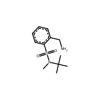 CN(C(C)(C)C)S(=O)(=O)c1ccccc1CN